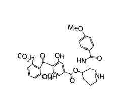 COc1ccc(C(=O)N[C@@H]2CNCCC[C@H]2OC(=O)c2cc(O)c(C(=O)c3c(O)cccc3C(=O)O)c(O)c2)cc1